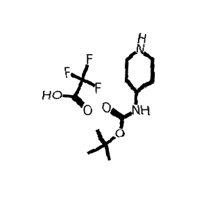 CC(C)(C)OC(=O)NC1CCNCC1.O=C(O)C(F)(F)F